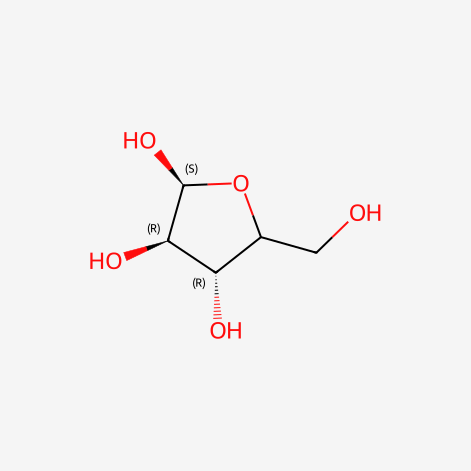 OCC1O[C@H](O)[C@H](O)[C@H]1O